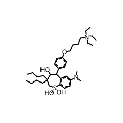 CCCCC1(CCCC)CS(O)(O)c2ccc(N(C)C)cc2C(c2ccc(OCCCC[N+](CC)(CC)CC)cc2)C1O